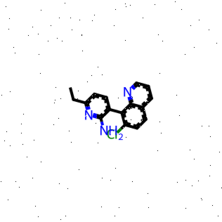 CCc1ccc(-c2c(Cl)ccc3cccnc23)c(N)n1